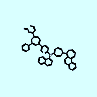 C=C/C=C(\C=C/C)C1=CC=C(C(/C=C\C(=C)N(C2=CC=CC(C3=c4ccc5ccccc5c4=CC=CC3)C=C2)c2cccc3ccccc23)=C/C)C=C(c2ccccc2)C1